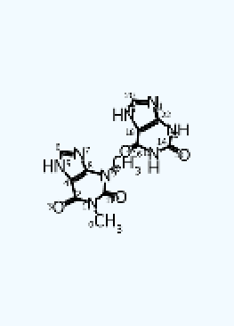 Cn1c(=O)c2[nH]cnc2n(C)c1=O.O=c1[nH]c(=O)c2[nH]cnc2[nH]1